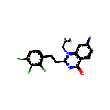 O=C(O)Cn1c(CCc2ccc(F)c(F)c2F)nc(=O)c2ccc(I)cc21